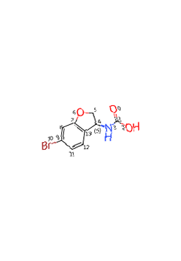 O=C(O)N[C@@H]1COc2cc(Br)ccc21